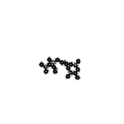 c1ccc(-c2cccc(-c3cc(-c4ccc(-c5cc6c(cc5-c5ccc(-c7cc(-c8ccccc8)nc(-c8ccccc8)n7)cc5)oc5cc(-c7cccc(-c8nc(-c9ccccc9)nc(-c9cc%10oc%11ccccc%11c%10cc9-c9cccc(-c%10nc(-c%11ccccc%11)cc(-c%11ccccc%11)n%10)c9)n8)c7)ccc56)cc4)nc(-c4ccccc4)n3)c2)cc1